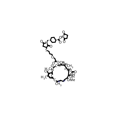 CO[C@@H]1/C=C/C=C(\C)Cc2cc(C)c(Cl)c(c2)N(C)C(=O)C[C@H](OC(=O)COCCCSC2CC(=O)N(C[C@H]3CC[C@H](C(=O)ON4C(=O)CCC4=O)CC3)C2=O)[C@]2(C)O[C@H]2[C@H](C)[C@@H]2C[C@@]1(O)NC(=O)O2